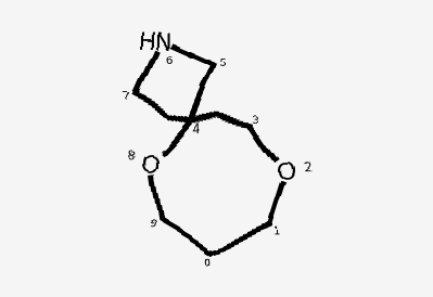 C1COCC2(CNC2)OC1